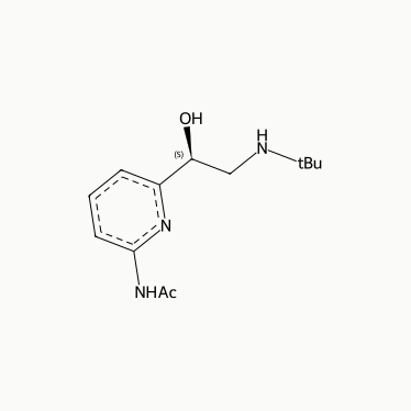 CC(=O)Nc1cccc([C@@H](O)CNC(C)(C)C)n1